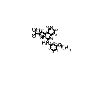 COc1cccc(Nc2nc3ccncc3c3cc(C(=O)O)nn23)c1